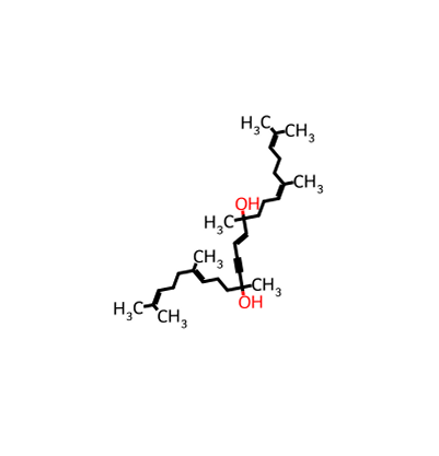 CC(C)=CCCC(C)=CCCC(C)(O)C#CC=CC(C)(O)CCC=C(C)CCC=C(C)C